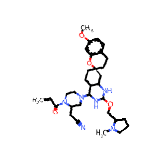 C=CC(=O)N1CCN(C2NC(OCC3CCCN3C)NC3C[C@@]4(CCc5ccc(OC)cc5O4)CCC32)CC1CC#N